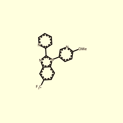 COc1ccc(-n2c(-c3ccccn3)nc3cc(C(F)(F)F)ccc32)cn1